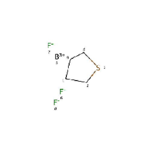 C1CCSC1.[B+3].[F-].[F-].[F-]